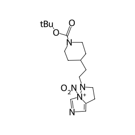 CC(C)(C)OC(=O)N1CCC(CCN2CCC3=CN=C[N+]32[N+](=O)[O-])CC1